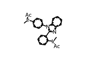 C[C](=O)[Ir]([CH3])[c]1ccc(-n2c(-c3cccc[c]3[Ir]([CH3])[C](C)=O)nc3ccccc32)cc1